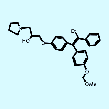 CCC(=C(c1ccc(OCOC)cc1)c1ccc(OCC(O)CN2CCCC2)cc1)c1ccccc1